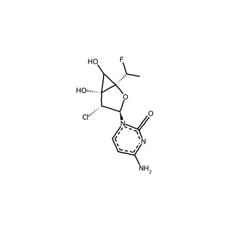 CC(F)[C@]12O[C@@H](n3ccc(N)nc3=O)[C@H](Cl)[C@@]1(O)C2O